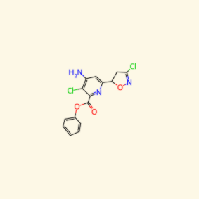 Nc1cc(C2CC(Cl)=NO2)nc(C(=O)Oc2ccccc2)c1Cl